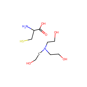 NC(CS)C(=O)O.OCCN(CCO)CCO